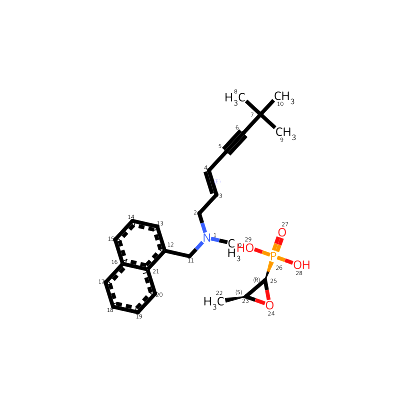 CN(C/C=C/C#CC(C)(C)C)Cc1cccc2ccccc12.C[C@@H]1O[C@@H]1P(=O)(O)O